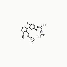 N#Cc1cccc(-c2cc(F)ccc2F)c1CO[C@H]1CCNC1.O=C(O)/C=C/C(=O)O